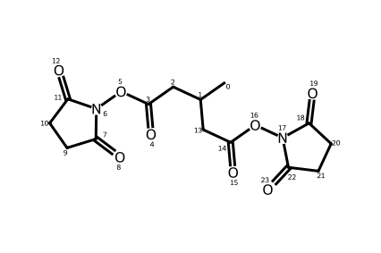 CC(CC(=O)ON1C(=O)CCC1=O)CC(=O)ON1C(=O)CCC1=O